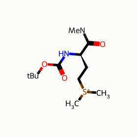 CNC(=O)[C@@H](CC[S+](C)C)NC(=O)OC(C)(C)C